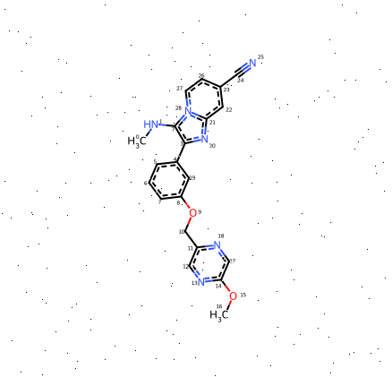 CNc1c(-c2cccc(OCc3cnc(OC)cn3)c2)nc2cc(C#N)ccn12